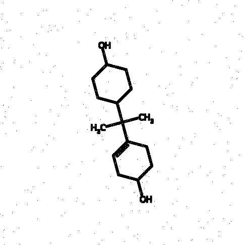 CC(C)(C1=CCC(O)CC1)C1CCC(O)CC1